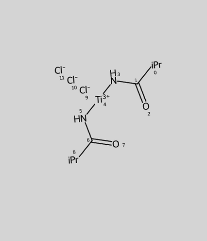 CC(C)C(=O)[NH][Ti+3][NH]C(=O)C(C)C.[Cl-].[Cl-].[Cl-]